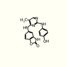 Cc1cnc(Nc2ccc(O)cc2)nc1Nc1ccc2oc(=O)[nH]c2c1